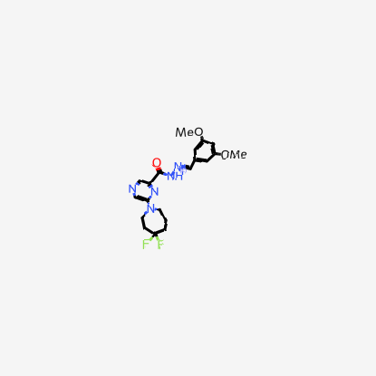 COc1cc(/C=N/NC(=O)c2cncc(N3CCCC(F)(F)CC3)n2)cc(OC)c1